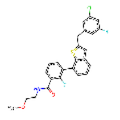 COCCNC(=O)c1cccc(-c2cccc3cc(Cc4cc(F)cc(Cl)c4)sc23)c1F